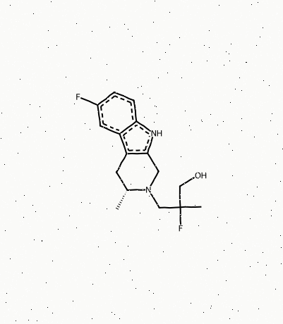 C[C@@H]1Cc2c([nH]c3ccc(F)cc23)CN1CC(C)(F)CO